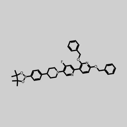 CC1(C)OB(c2ccc(C3CCN(c4cnc(-c5ccc(OCc6ccccc6)nc5OCc5ccccc5)cc4F)CC3)cc2)OC1(C)C